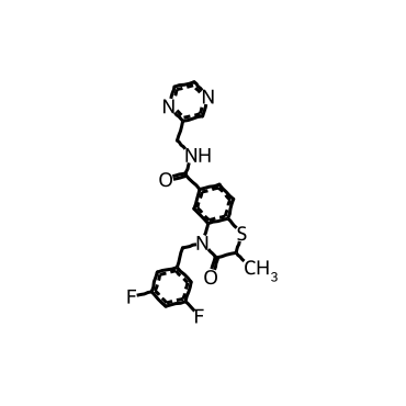 CC1Sc2ccc(C(=O)NCc3cnccn3)cc2N(Cc2cc(F)cc(F)c2)C1=O